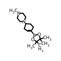 CN1CCN(C2CC=C(B3OC(C)(C)C(C)(C)O3)CC2)CC1